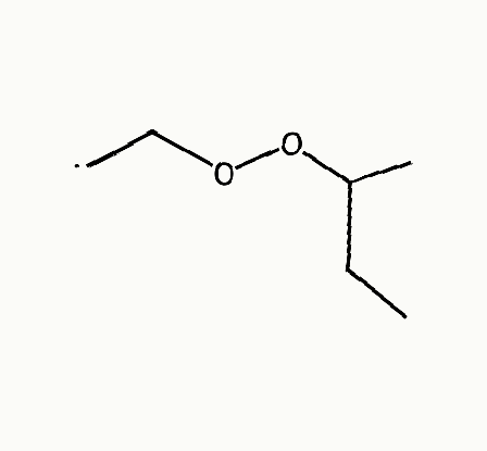 [CH2]COOC(C)CC